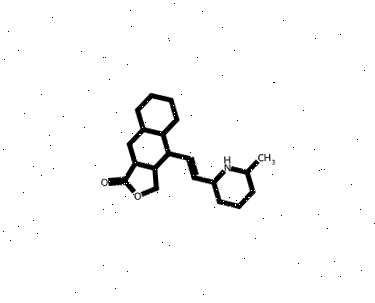 CC1CCCC(C=CC2C3CCCCC3CC3C(=O)OCC32)N1